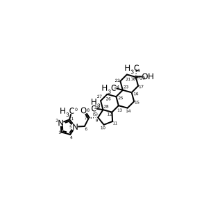 Cc1nccn1CC(=O)[C@H]1CCC2C3CCC4C[C@](C)(O)CCC4(C)C3CCC21C